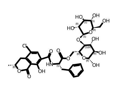 C[C@@H]1Cc2c(Cl)cc(C(=O)N[C@@H](Cc3ccccc3)C(=O)OC[C@H]3O[C@@H](O)[C@H](O)[C@@H](O)[C@@H]3O[C@@H]3O[C@H](CO)[C@@H](O)[C@H](O)[C@H]3O)c(O)c2C(=O)O1